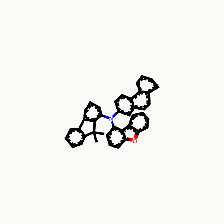 CC1(C)c2ccccc2-c2cccc(N(c3ccc4c(ccc5ccccc54)c3)c3cccc4oc5ccccc5c34)c21